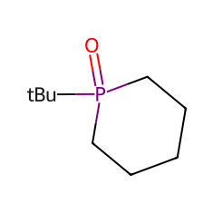 CC(C)(C)P1(=O)CCCCC1